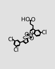 O=C(O)CCc1cn(S(=O)(=O)c2ccc(-c3cc(Cl)cc(Cl)c3)s2)c2ccc(Cl)cc12